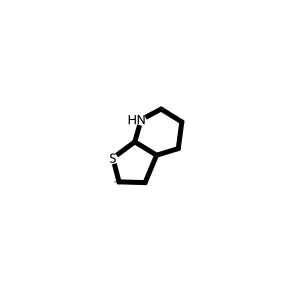 [CH]1CC2CCCNC2S1